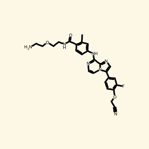 Cc1cc(Nc2nccn3c(-c4ccc(OCC#N)c(F)c4)cnc23)ccc1C(=O)NCCOCCN